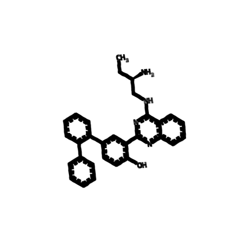 CC[C@@H](N)CNc1nc(-c2cc(-c3ccccc3-c3ccccc3)ccc2O)nc2ccccc12